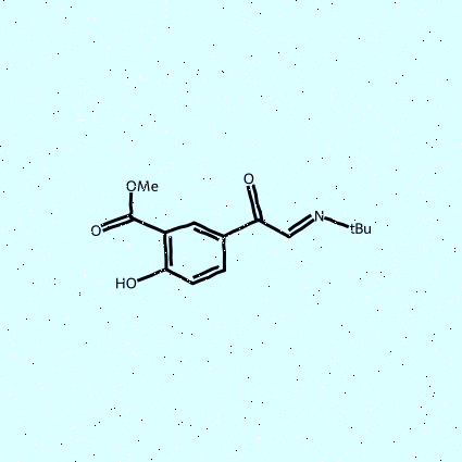 COC(=O)c1cc(C(=O)C=NC(C)(C)C)ccc1O